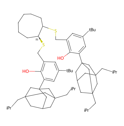 CC(C)CC12CC3CC(CC(C)C)(C1)CC(c1cc(C(C)(C)C)cc(CSC4CCCCCC[C@@H]4SCc4cc(C(C)(C)C)cc(C56CC7CC(CC(C)C)(CC(CC(C)C)(C7)C5)C6)c4O)c1O)(C3)C2